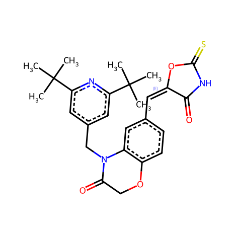 CC(C)(C)c1cc(CN2C(=O)COc3ccc(/C=C4/OC(=S)NC4=O)cc32)cc(C(C)(C)C)n1